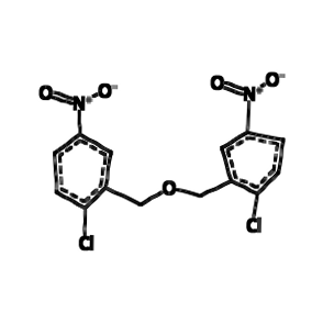 O=[N+]([O-])c1ccc(Cl)c(COCc2cc([N+](=O)[O-])ccc2Cl)c1